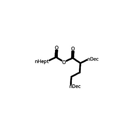 CCCCCCCCCCCCC(CCCCCCCCCC)C(=O)OC(=O)CCCCCCC